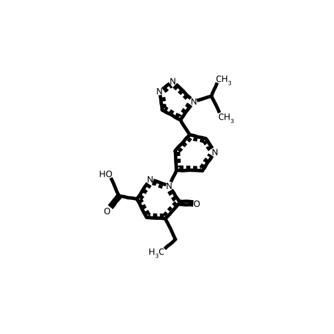 CCc1cc(C(=O)O)nn(-c2cncc(-c3cnnn3C(C)C)c2)c1=O